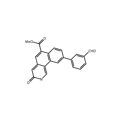 COC(=O)c1cc2c(c3cc(-c4cccc(C=O)c4)ccc13)=C[N]C(=O)C=2